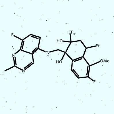 CCC1CC(O)(C(F)(F)F)C(O)(CNc2ccc(F)c3nc(C)ncc23)c2ccc(F)c(OC)c21